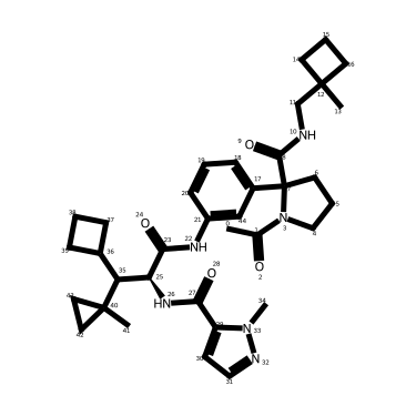 CC(=O)N1CCCC1(C(=O)NCC1(C)CCC1)c1cccc(NC(=O)[C@@H](NC(=O)c2ccnn2C)C(C2CCC2)C2(C)CC2)c1